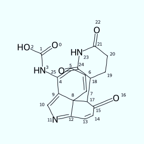 O=C(O)NC1=CC=CC23C1=CN=C2C=CC(=O)C3C1CCC(=O)NC1=O